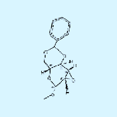 CO[C@@H]1O[C@@H]2COC(c3ccccc3)O[C@H]2[C@@H]2O[C@H]12